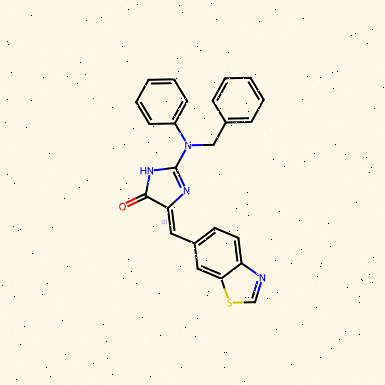 O=C1NC(N(Cc2ccccc2)c2ccccc2)=N/C1=C\c1ccc2ncsc2c1